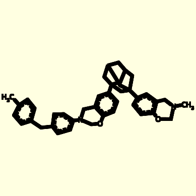 Cc1ccc(Cc2ccc(N3COc4ccc(C56CC7CC(CC(c8ccc9c(c8)CN(C)CO9)(C7)C5)C6)cc4C3)cc2)cc1